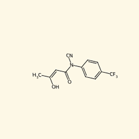 CC(O)=CC(=O)N(C#N)c1ccc(C(F)(F)F)cc1